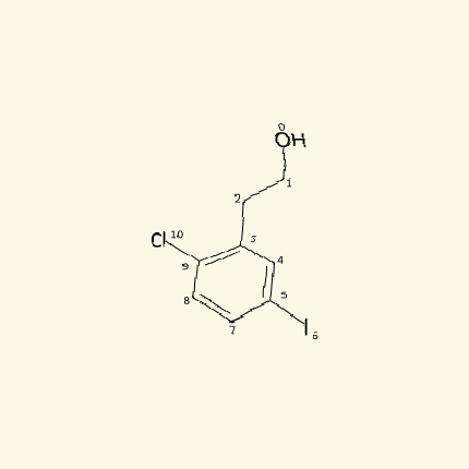 OCCc1cc(I)ccc1Cl